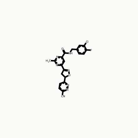 Cc1nc(C(=O)NCc2ccc(F)c(Cl)c2)cc(C2=NOC(c3ccc(C#N)nn3)C2)n1